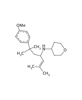 COc1ccc(C(C)(C)CC(C=C(C)C)NC2CCOCC2)cc1